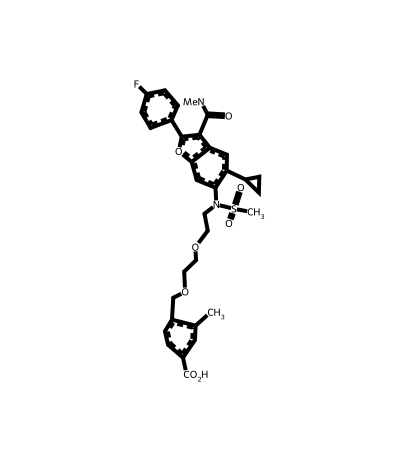 CNC(=O)c1c(-c2ccc(F)cc2)oc2cc(N(CCOCCOCc3ccc(C(=O)O)cc3C)S(C)(=O)=O)c(C3CC3)cc12